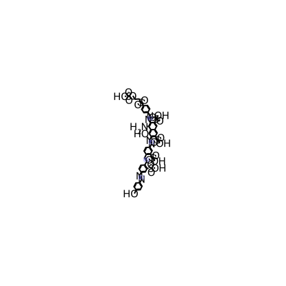 Nc1c(/N=N/c2ccc(S(=O)(=O)CCOS(=O)(=O)O)cc2)c(S(=O)(=O)O)cc2cc(S(=O)(=O)O)c(/N=N/c3ccc(/C=C/c4ccc(/N=N/c5ccc(O)cc5)cc4S(=O)(=O)O)c(S(=O)(=O)O)c3)c(O)c12